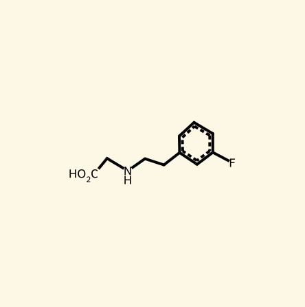 O=C(O)CNCCc1cccc(F)c1